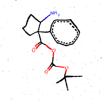 CC(C)(C)OC(=O)OC(=O)C1(c2ccccc2)CCCC1N